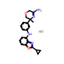 CC1(c2cccc(Nc3cccc4oc(C5CC5)nc34)c2)COCC(N)=N1.Cl